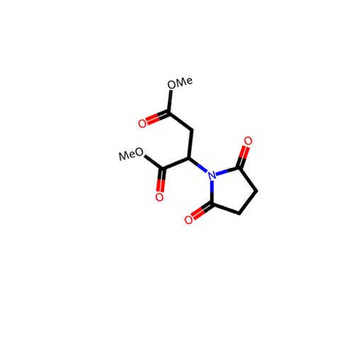 COC(=O)CC(C(=O)OC)N1C(=O)CCC1=O